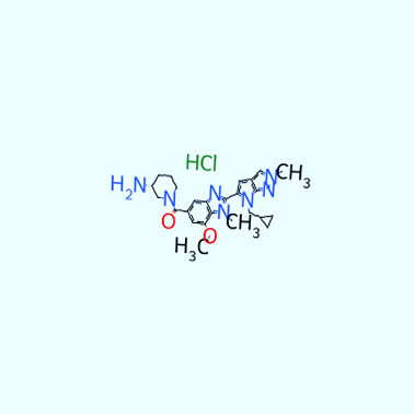 COc1cc(C(=O)N2CCC[C@@H](N)C2)cc2nc(-c3cc4cn(C)nc4n3CC3CC3)n(C)c12.Cl